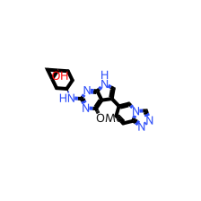 COc1nc(N[C@H]2CC[C@]3(O)CC3C2)nc2[nH]cc(-c3ccc4nncn4c3)c12